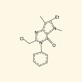 CCc1c(C)c2nc(CCl)n(-c3ccccc3)c(=O)c2n1C